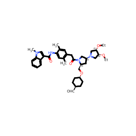 CCO[C@H]1CN([C@H]2C[C@@H](CO[C@H]3CC[C@H](C=O)CC3)N(C(=O)Cc3cc(C)c(NC(=O)c4cn(C)c5ccccc45)cc3C)C2)C[C@H]1OCC